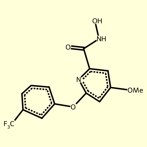 COc1cc(Oc2cccc(C(F)(F)F)c2)nc(C(=O)NO)c1